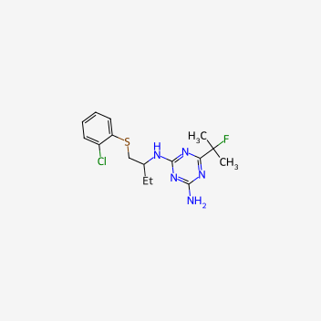 CCC(CSc1ccccc1Cl)Nc1nc(N)nc(C(C)(C)F)n1